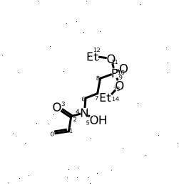 C=CC(=O)N(O)CCCP(=O)(OCC)OCC